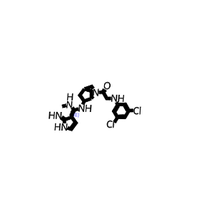 CN/C(NC1CC2CC1N(C(=O)CNc1cc(Cl)cc(Cl)c1)C2)=C1/C=CNC1=N